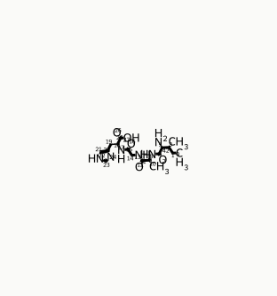 CC[C@H](C)[C@H](N)C(=O)N[C@@H](C)C(=O)NCC(=O)N[C@@H](Cc1c[nH]cn1)C(=O)O